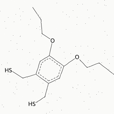 CCCOc1cc(CS)c(CS)cc1OCCC